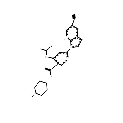 CC(C)Nc1cc(-n2ccc3cc(C#N)cnc32)ncc1C(=O)N[C@H]1CC[C@H](O)CC1